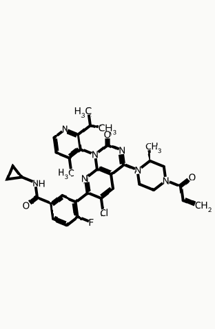 C=CC(=O)N1CCN(c2nc(=O)n(-c3c(C)ccnc3C(C)C)c3nc(-c4cc(C(=O)NC5CC5)ccc4F)c(Cl)cc23)[C@@H](C)C1